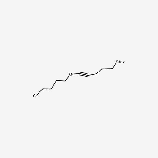 CCCCCCCCCC#COCCCCCl